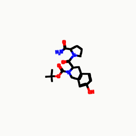 CC(C)(C)OC(=O)N1Cc2cc(O)ccc2CC1C(=O)N1CCCC1C(N)=O